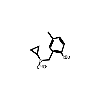 Cc1ccc(C(C)(C)C)c(CN([C]=O)C2CC2)c1